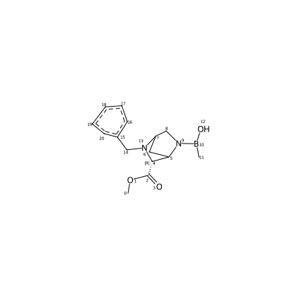 COC(=O)[C@H]1C2CC(CN2B(C)O)N1Cc1ccccc1